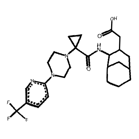 O=C(O)CC1CC2CCCC(C2)C1NC(=O)C1(N2CCN(c3ccc(C(F)(F)F)cn3)CC2)CC1